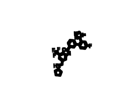 Cn1cnnc1-c1cc(F)ccc1-c1cccc(-c2nc3cc(CNC4CCCC4)cc(C(F)(F)F)c3o2)c1